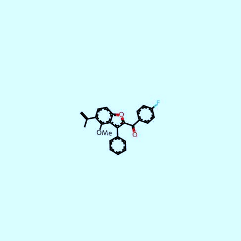 C=C(C)c1ccc2oc(C(=O)c3ccc(F)cc3)c(-c3ccccc3)c2c1OC